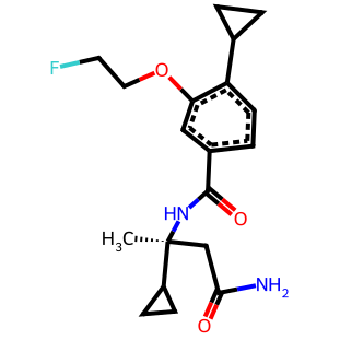 C[C@@](CC(N)=O)(NC(=O)c1ccc(C2CC2)c(OCCF)c1)C1CC1